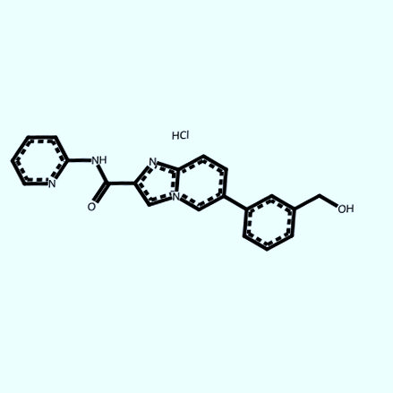 Cl.O=C(Nc1ccccn1)c1cn2cc(-c3cccc(CO)c3)ccc2n1